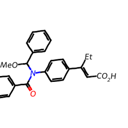 CC/C(=C\C(=O)O)c1ccc(N(C(=O)c2ccccc2)C(OC)c2ccccc2)cc1